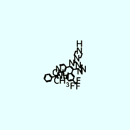 CC(C)(Nc1cc(-c2nc(N3CCNCC3)n3cnnc3c2-c2cccc(C(F)(F)F)c2)ccn1)c1ccccc1